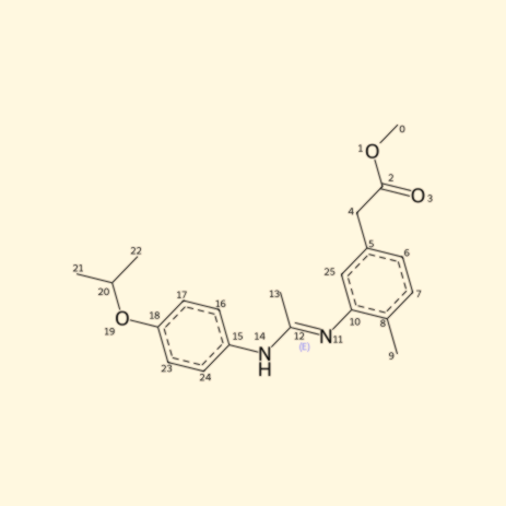 COC(=O)Cc1ccc(C)c(/N=C(\C)Nc2ccc(OC(C)C)cc2)c1